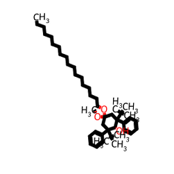 CCCCCCCCCCCCCCCCCCOC1(OC)CC(c2ccccc2)(C(C)(C)C)C(O)C(c2ccccc2)(C(C)(C)C)C1